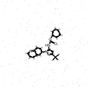 CC(C)(C)c1cc(NC(=O)Oc2ccccc2)n(-c2ccc3ncccc3c2)n1